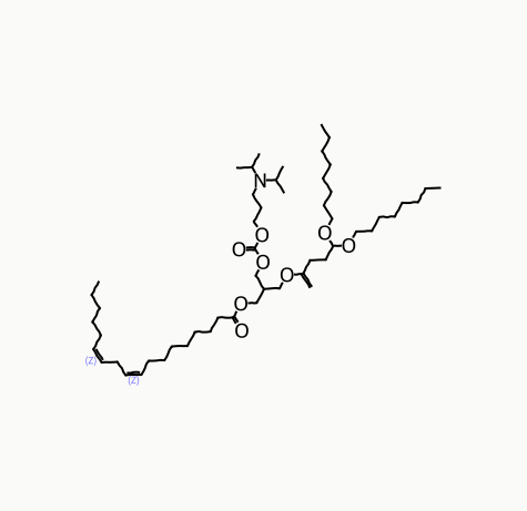 C=C(CCC(OCCCCCCCC)OCCCCCCCC)OCC(COC(=O)CCCCCCC/C=C\C/C=C\CCCCC)COC(=O)OCCCN(C(C)C)C(C)C